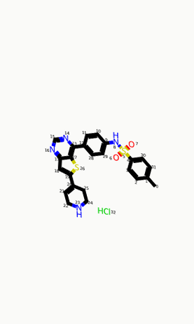 Cc1ccc(S(=O)(=O)Nc2ccc(-c3ncnc4cc(C5=CCNCC5)sc34)cc2)cc1.Cl